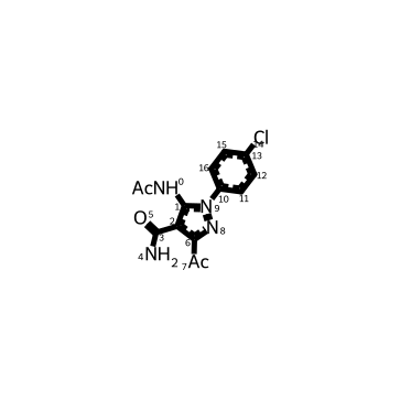 CC(=O)Nc1c(C(N)=O)c(C(C)=O)nn1-c1ccc(Cl)cc1